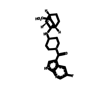 O=C(O)[C@@H]1C(NC2CCN(C(=O)c3c[nH]c4ncc(F)cc34)CC2)[C@H]2CC[C@@H]1CC2